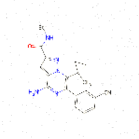 CCNC(=O)c1cc2c(N)nc(-c3cccc(C#N)c3)c(C3(C(F)(F)F)CC3)n2n1